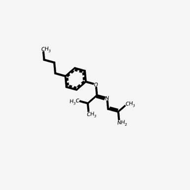 CCCCc1ccc(O/C(=N/C=C(\C)N)C(C)C)cc1